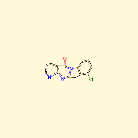 O=c1c2cccnc2nc2n1-c1cccc(Cl)c1C2